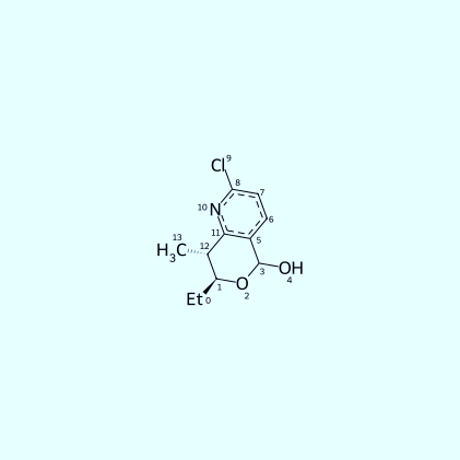 CC[C@@H]1OC(O)c2ccc(Cl)nc2[C@H]1C